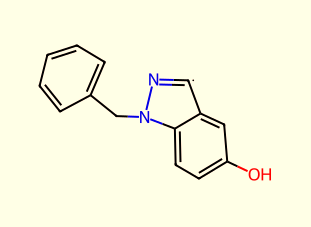 Oc1ccc2c([c]nn2Cc2ccccc2)c1